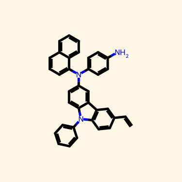 C=Cc1ccc2c(c1)c1cc(N(c3ccc(N)cc3)c3cccc4ccccc34)ccc1n2-c1ccccc1